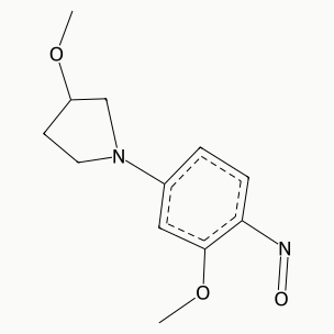 COc1cc(N2CCC(OC)C2)ccc1N=O